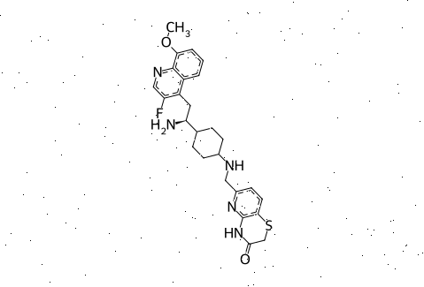 COc1cccc2c(C[C@H](N)C3CCC(NCc4ccc5c(n4)NC(=O)CS5)CC3)c(F)cnc12